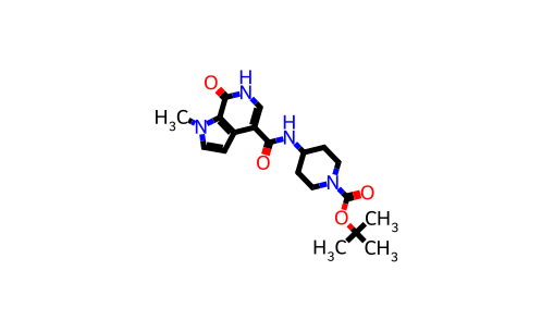 Cn1ccc2c(C(=O)NC3CCN(C(=O)OC(C)(C)C)CC3)c[nH]c(=O)c21